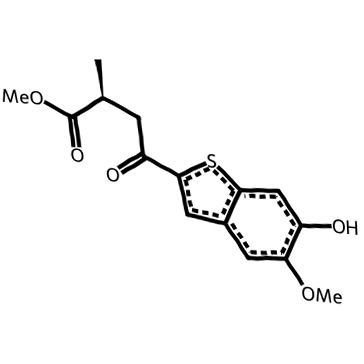 COC(=O)[C@@H](C)CC(=O)c1cc2cc(OC)c(O)cc2s1